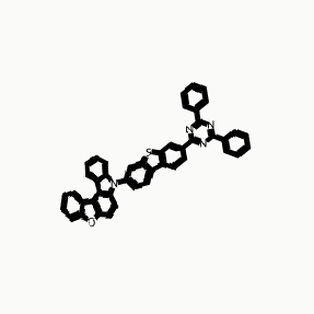 c1ccc(-c2nc(-c3ccccc3)nc(-c3ccc4c(c3)sc3cc(-n5c6ccccc6c6c7c(ccc65)oc5ccccc57)ccc34)n2)cc1